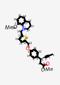 CC#C[C@@H](CC(=O)OC)c1ccc(OCc2ccc(CN3CCCc4cccc(OC)c43)s2)cc1